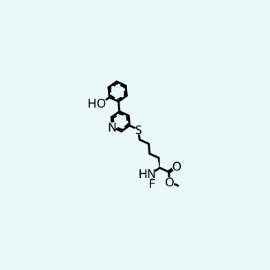 COC(=O)[C@H](CCCCSc1cncc(-c2ccccc2O)c1)NF